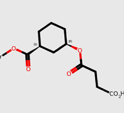 CC(C)OC(=O)[C@H]1CCC[C@@H](OC(=O)CCC(=O)O)C1